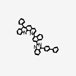 c1ccc(-c2ccc(-c3nc(-c4ccc(-c5ccc6ccc7c(-c8ccccc8)c8ccccc8nc7c6n5)c5ccccc45)nc4ccccc34)cc2)cc1